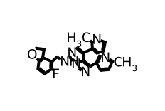 Cc1ccc(-c2ncn3c(NCc4c(F)ccc5c4CCO5)ncc(-c4cccnc4C)c23)cn1